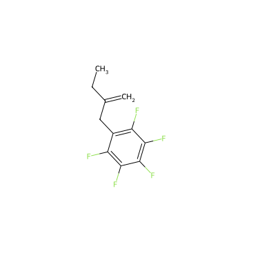 C=C(CC)Cc1c(F)c(F)c(F)c(F)c1F